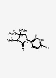 CNN1C(=O)N(c2ccc(I)nn2)CC1(NC)NC